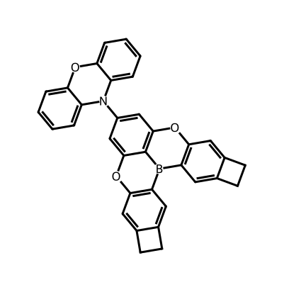 c1ccc2c(c1)Oc1ccccc1N2c1cc2c3c(c1)Oc1cc4c(cc1B3c1cc3c(cc1O2)CC3)CC4